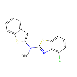 O=CN(c1cc2ccccc2s1)c1nc2c(Cl)cccc2s1